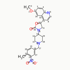 COc1ccc2nccc(C3CN(C4CCN(Cc5ccc(C)c([N+](=O)[O-])c5)CC4)C(=O)O3)c2c1